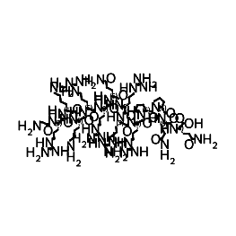 N=C(N)NCCC[C@H](NC(=O)CN)C(=O)N[C@@H](CCCCN)C(=O)N[C@@H](CCCCN)C(=O)N[C@@H](CCCNC(=N)N)C(=O)N[C@@H](CCCNC(=N)N)C(=O)N[C@@H](CCC(N)=O)C(=O)N[C@@H](CCCNC(=N)N)C(=O)N[C@@H](CCCNC(=N)N)C(=O)N[C@@H](CCCNC(=N)N)C(=O)N1CCC[C@H]1C(=O)N1CCC[C@H]1C(=O)N[C@@H](CCC(N)=O)C(=O)N[C@@H](CCC(N)=O)C(=O)O